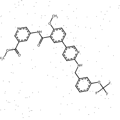 COC(=O)c1cncc(NC(=O)c2cc(-c3ccc(NCc4cccc(OC(F)(F)F)c4)nc3)ccc2OC)c1